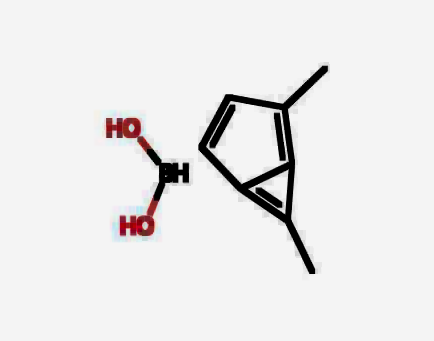 Cc1ccc2c(C)c1-2.OBO